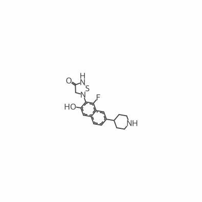 O=C1CN(c2c(O)cc3ccc(C4CCNCC4)cc3c2F)SN1